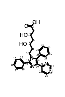 O=C(O)C[C@@H](O)C[C@@H](O)CCn1c(-c2ccccc2)nc(-c2ccncn2)c1-c1ccccc1